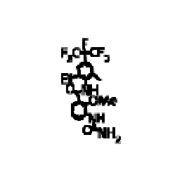 CCc1cc(C(F)(C(F)(F)F)C(F)(F)F)cc(C)c1NC(=O)c1cccc(NC(N)=O)c1OC